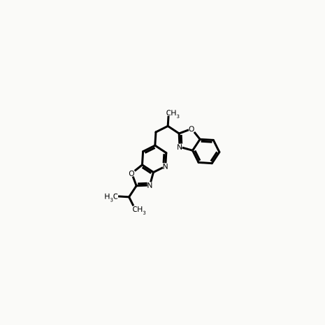 CC(C)c1nc2ncc(CC(C)c3nc4ccccc4o3)cc2o1